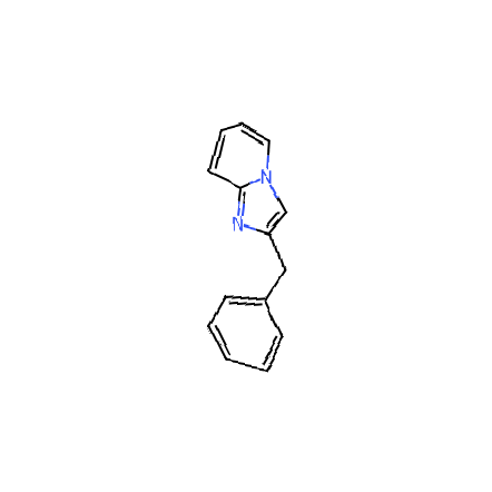 c1ccc(Cc2cn3ccccc3n2)cc1